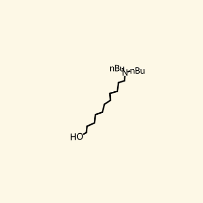 CCCCN(CCCC)CCCCCCCCCCCO